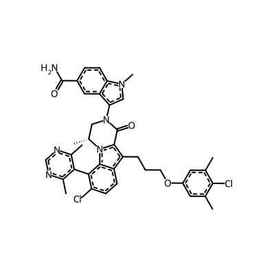 Cc1cc(OCCCc2c3n(c4c(-c5c(C)ncnc5C)c(Cl)ccc24)[C@H](C)CN(c2cn(C)c4ccc(C(N)=O)cc24)C3=O)cc(C)c1Cl